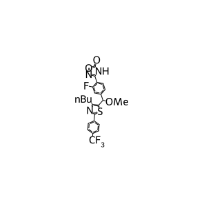 CCCCc1nc(-c2ccc(C(F)(F)F)cc2)sc1C(OC)c1ccc(-c2noc(=O)[nH]2)c(F)c1